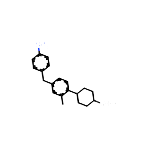 CCCCCCC1CCC(c2ccc(Cc3ccc(N)cc3)cc2C)CC1